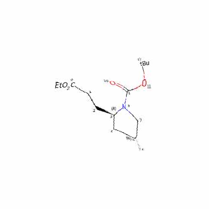 CCOC(=O)CC[C@@H]1C[C@@H](C)CN1C(=O)OC(C)(C)C